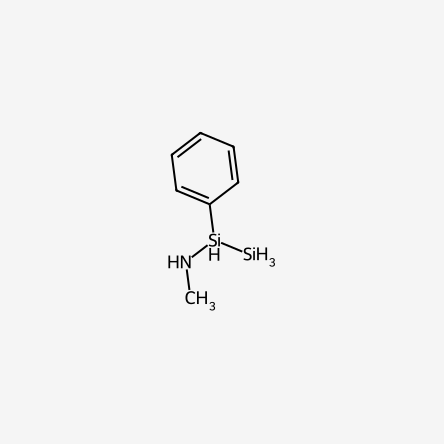 CN[SiH]([SiH3])c1ccccc1